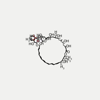 C[C@@H]1[C@H](O)[C@@H](C)/C=C/C=C/C=C/C=C/C=C/C=C/C=C/[C@H](O[C@@H]2O[C@H](C)[C@@H](O)[C@H](N)[C@@H]2O)C[C@@H]2O[C@](O)(C[C@@H](O)C[C@@H](O)[C@H](O)CC[C@@H](O)C[C@@H](O)CC(=O)O[C@H]1C)C[C@H](O)[C@H]2C(=O)NC1CCOCC1